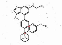 CCNc1cc(-c2ccc(N3CC4CC(C3)N4Cc3ccc(OC)nc3)nc2)c2c(C)cnn2c1